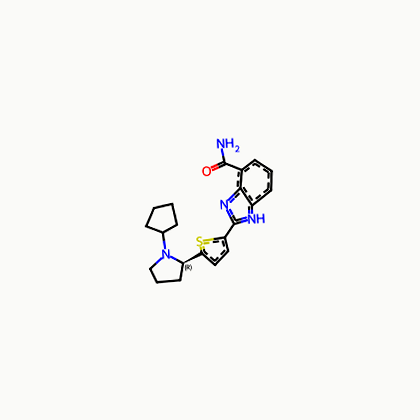 NC(=O)c1cccc2[nH]c(-c3ccc([C@H]4CCCN4C4CCCC4)s3)nc12